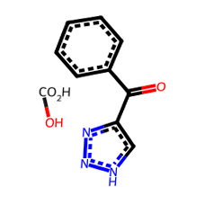 O=C(O)O.O=C(c1ccccc1)c1c[nH]nn1